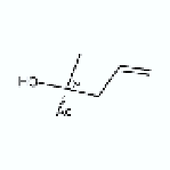 C=CC[C@](C)(O)C(C)=O